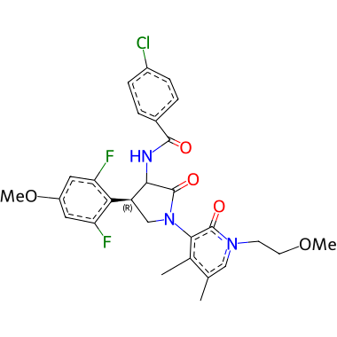 COCCn1cc(C)c(C)c(N2C[C@@H](c3c(F)cc(OC)cc3F)C(NC(=O)c3ccc(Cl)cc3)C2=O)c1=O